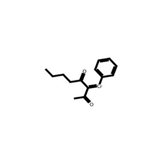 CCCCC(=O)[C](=[Cr][c]1ccccc1)C(C)=O